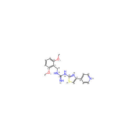 COc1cccc(OC)c1CNC(=N)Nc1nc(-c2ccncc2)cs1